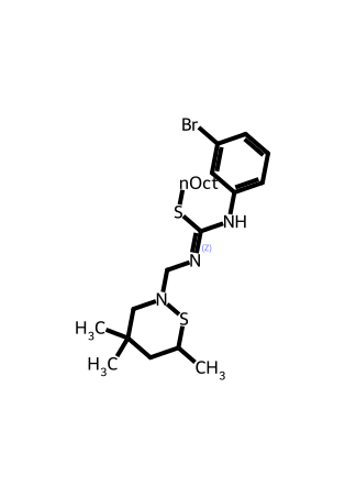 CCCCCCCCS/C(=N\CN1CC(C)(C)CC(C)S1)Nc1cccc(Br)c1